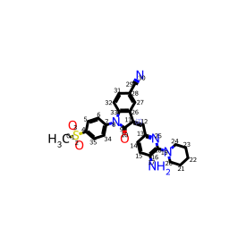 CS(=O)(=O)c1ccc(N2C(=O)/C(=C\c3ccc(N)c(N4CCCCC4)n3)c3cc(C#N)ccc32)cc1